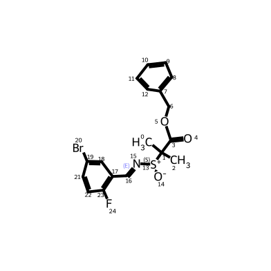 CC(C)(C(=O)OCc1ccccc1)[S@@+]([O-])/N=C/c1cc(Br)ccc1F